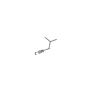 [C-]#[N+][CH]C(C)C